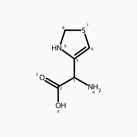 NC(C(=O)O)C1=CSCN1